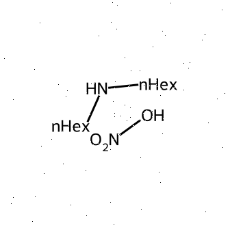 CCCCCCNCCCCCC.O=[N+]([O-])O